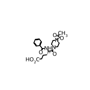 CS(=O)(=O)N1CCN(C(=O)[C@H](CCCC(=O)O)NC(=O)c2ccccc2)CC1